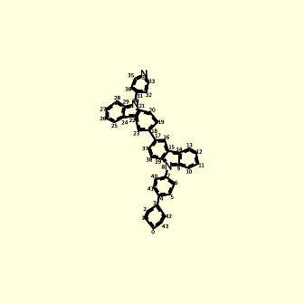 c1ccc(-c2ccc(-n3c4ccccc4c4cc(-c5ccc6c(c5)c5ccccc5n6-c5ccncc5)ccc43)cc2)cc1